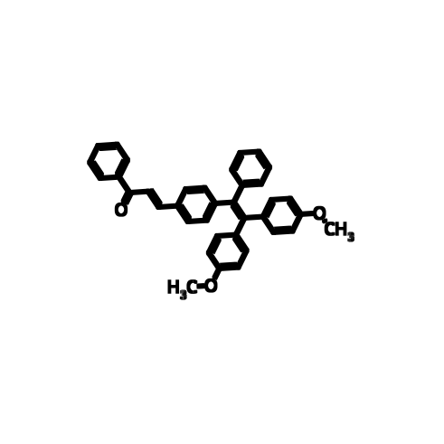 COc1ccc(C(=C(c2ccccc2)c2ccc(/C=C/C(=O)c3ccccc3)cc2)c2ccc(OC)cc2)cc1